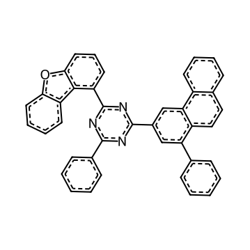 c1ccc(-c2nc(-c3cc(-c4ccccc4)c4ccc5ccccc5c4c3)nc(-c3cccc4oc5ccccc5c34)n2)cc1